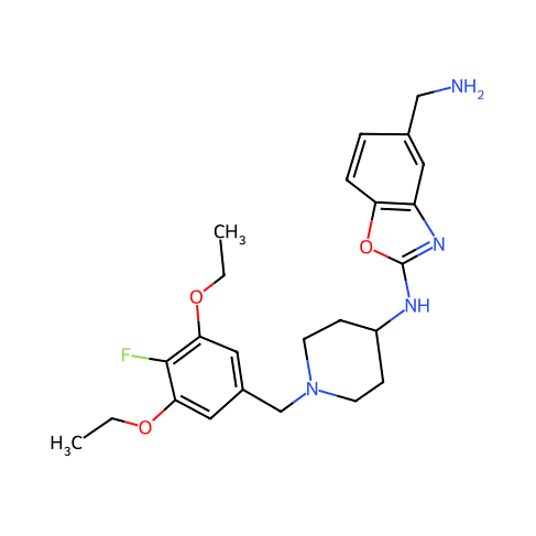 CCOc1cc(CN2CCC(Nc3nc4cc(CN)ccc4o3)CC2)cc(OCC)c1F